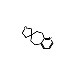 [c]1cnc2c(c1)CCC1(CCOC1)CC2